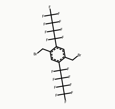 FC(F)(F)C(F)(F)C(F)(F)C(F)(F)c1cc(CBr)c(C(F)(F)C(F)(F)C(F)(F)C(F)(F)F)cc1CBr